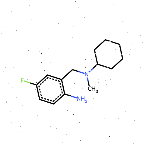 CN(Cc1cc(F)ccc1N)C1CCCCC1